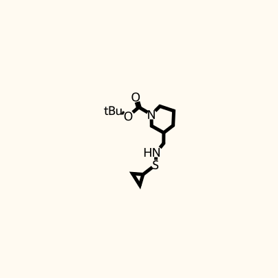 CC(C)(C)OC(=O)N1CCCC(CNSC2CC2)C1